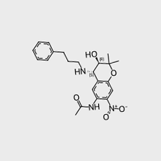 CC(=O)Nc1cc2c(cc1[N+](=O)[O-])OC(C)(C)[C@H](O)[C@H]2NCCCc1ccccc1